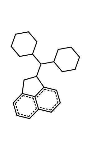 c1cc2c3c(cccc3c1)C(C(C1CCCCC1)C1CCCCC1)C2